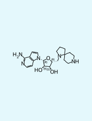 Nc1nccc2c1ccn2[C@@H]1O[C@H](CN2CCCC23CCNCC3)[C@@H](O)[C@H]1O